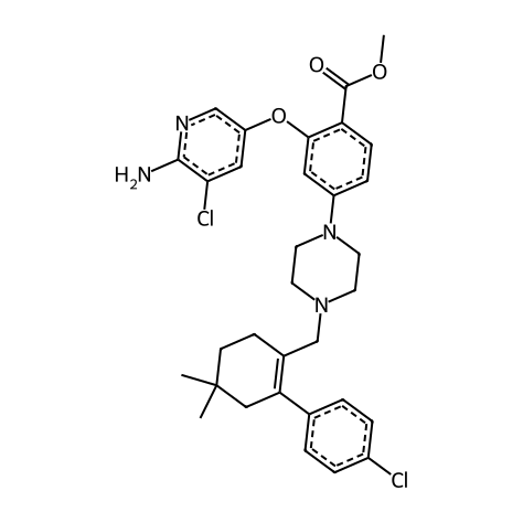 COC(=O)c1ccc(N2CCN(CC3=C(c4ccc(Cl)cc4)CC(C)(C)CC3)CC2)cc1Oc1cnc(N)c(Cl)c1